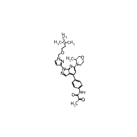 CC(=O)C(=O)Nc1ccc(-c2cc(N3CCOCC3C)nc3c2cnn3-c2ccn(COCC[Si](C)(C)C)n2)cc1